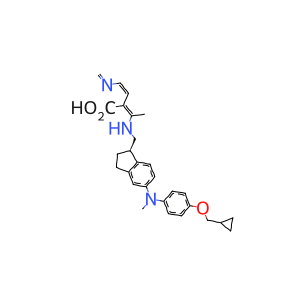 C=N/C=C\C(C(=O)O)=C(/C)NC[C@@H]1CCc2cc(N(C)c3ccc(OCC4CC4)cc3)ccc21